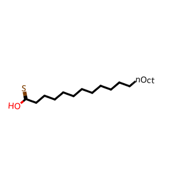 CCCCCCCCCCCCCCCCCCCC(O)=S